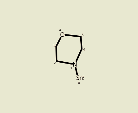 [Sn][N]1CCOCC1